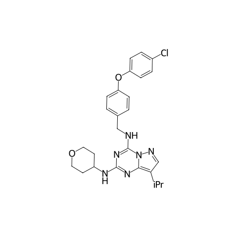 CC(C)c1cnn2c(NCc3ccc(Oc4ccc(Cl)cc4)cc3)nc(NC3CCOCC3)nc12